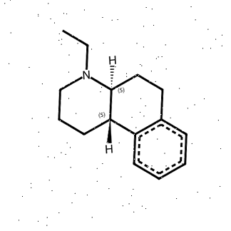 CCN1CCC[C@H]2c3ccccc3CC[C@@H]21